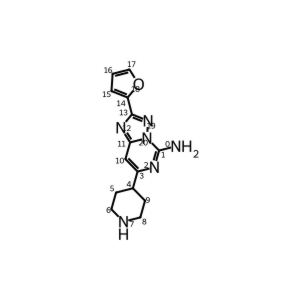 Nc1nc(C2CCNCC2)cc2nc(-c3ccco3)nn12